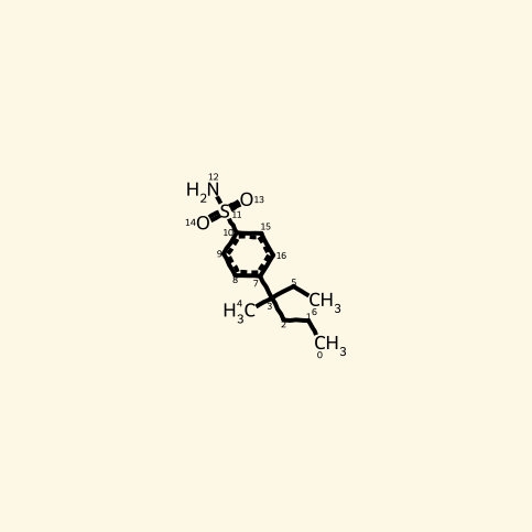 CCCC(C)(CC)c1ccc(S(N)(=O)=O)cc1